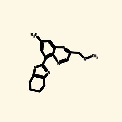 COCc1cnc2c(-c3nc4c(s3)CCCC4)cc(C)cc2n1